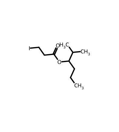 CCCC(OC(=O)CCI)C(C)C